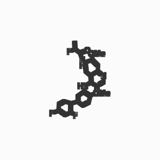 C=C(F)C(=O)Nc1cc2c(Nc3cc(-c4ccc(F)cc4F)ccc3OC)ncnc2cc1OC